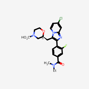 CCN(C)C(=O)c1ccc(-c2nc3cc(Cl)ccn3c2C[C@H]2CN(C(=O)O)CCO2)c(F)c1